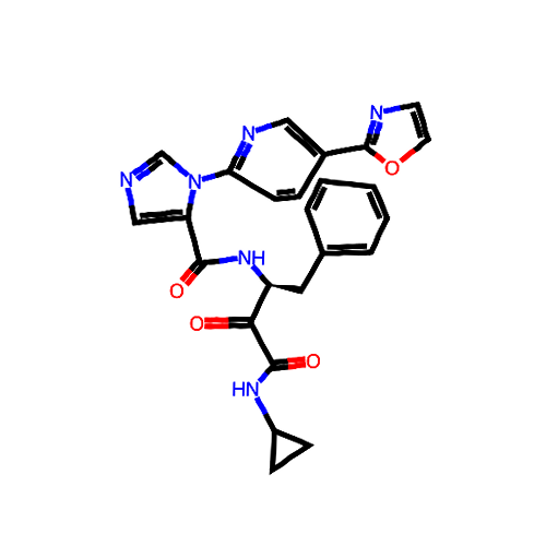 O=C(NC1CC1)C(=O)[C@H](Cc1ccccc1)NC(=O)c1cncn1-c1ccc(-c2ncco2)cn1